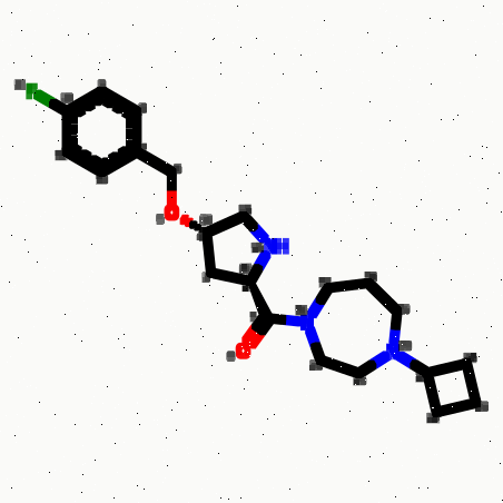 O=C([C@H]1C[C@H](OCc2ccc(F)cc2)CN1)N1CCCN(C2CCC2)CC1